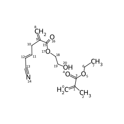 C=C(C)C(=O)OCC.C=C(CC=CC#N)C(=O)OCCO